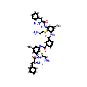 CC(C)(C)c1cc(NC(=O)c2cccc(C(=O)Nc3cc(C(C)(C)C)cc(NC(=O)[C@@H](N)Cc4ccccc4)c3SCCN)c2)c(SCCN)c(NC(=O)[C@@H](N)Cc2ccccc2)c1